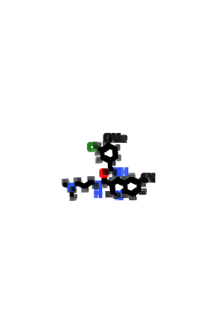 COc1ccc(CNc2c(C(=O)NCCCN(C)C)cnc3ccc(C#N)cc23)cc1Cl